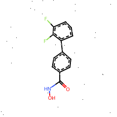 O=C(NO)c1ccc(-c2cccc(F)c2F)cc1